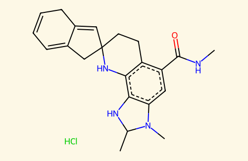 CNC(=O)c1cc2c(c3c1CCC1(C=C4CC=CC=C4C1)N3)NC(C)N2C.Cl